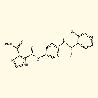 CNC(=O)c1nc[nH]c1C(=O)Nc1ccc(NC(=O)c2ccncc2Cl)cc1